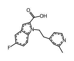 Cc1cc(CCn2c(C(=O)O)cc3cc(F)ccc32)ccn1